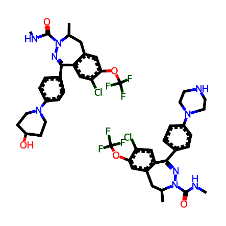 CNC(=O)N1N=C(c2ccc(N3CCC(O)CC3)cc2)c2cc(Cl)c(OC(F)(F)F)cc2CC1C.CNC(=O)N1N=C(c2ccc(N3CCNCC3)cc2)c2cc(Cl)c(OC(F)(F)F)cc2CC1C